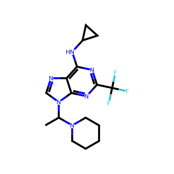 CC(N1CCCCC1)n1cnc2c(NC3CC3)nc(C(F)(F)F)nc21